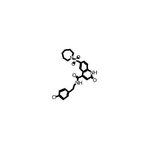 O=C(NCCc1ccc(Cl)cc1)c1cc(=O)[nH]c2ccc(S(=O)(=O)N3CCCCCC3)cc12